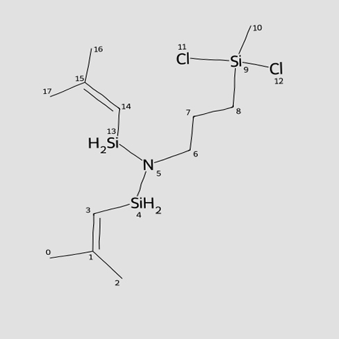 CC(C)=C[SiH2]N(CCC[Si](C)(Cl)Cl)[SiH2]C=C(C)C